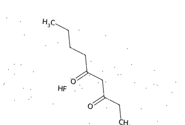 CCCCC(=O)CC(=O)CC.F